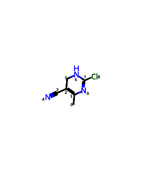 CC1=C(C#N)CNC(Cl)=N1